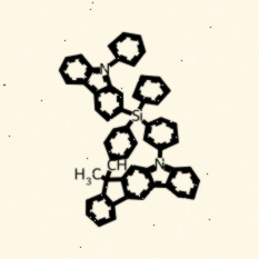 CC1(C)c2ccccc2-c2cc3c4ccccc4n(-c4cccc([Si](c5ccccc5)(c5ccccc5)c5ccc6c7ccccc7n(-c7ccccc7)c6c5)c4)c3cc21